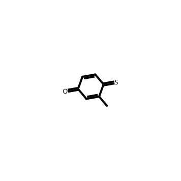 CC1=CC(=O)C=CC1=S